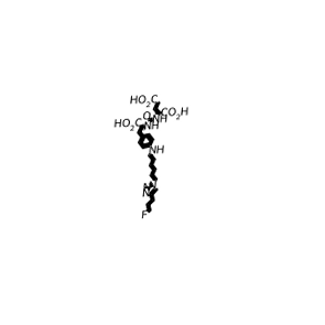 O=C(O)CC[C@H](NC(=O)N[C@@H](Cc1ccc(NCCCCCCn2cc(CCCF)nn2)cc1)C(=O)O)C(=O)O